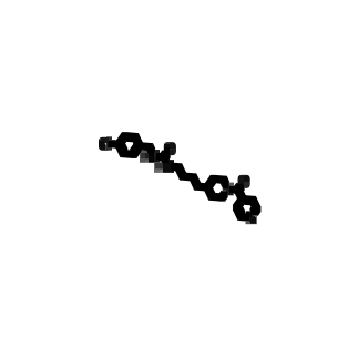 O=C(NCCCCC1CCN(C(=O)c2ccncc2)CC1)NCc1ccc(Cl)cc1